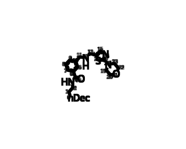 CCCCCCCCCCCCNC(=O)c1cccc(CNCc2cnc(N3CCOCC3)s2)c1